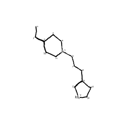 [CH2]CC1CCN(CCCC2CCNC2)CC1